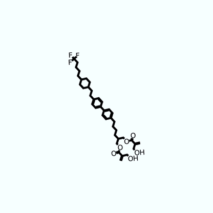 C=C(CO)C(=O)OCC(CCCCc1ccc(-c2ccc(CCC3CCC(CCCCC(F)(F)F)CC3)cc2)cc1)COC(=O)C(=C)CO